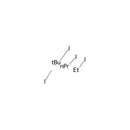 CC(C)(C)I.CCCI.CCI.CI